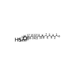 CCCCCCCCCCCCCCCCCCc1ccc(CS)cc1